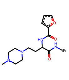 CC(C)NC(=O)C(CCN1CCN(C)CC1)NC(=O)c1ccco1